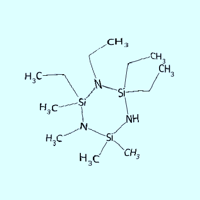 CCN1[Si](CC)(CC)N[Si](C)(C)N(C)[Si]1(C)CC